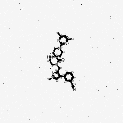 Cc1cc(C)nc(N2CCC3(CC2)NCCN(Cc2nn(C)cc2-c2cccc(C#N)c2)C3=O)n1